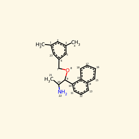 Cc1cc(C)cc(COC(c2cccc3ccccc23)C(C)N)c1